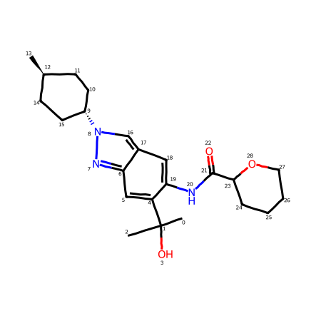 CC(C)(O)c1cc2nn([C@H]3CC[C@H](C)CC3)cc2cc1NC(=O)C1CCCCO1